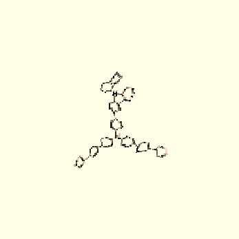 c1ccc(-c2ccc(-c3ccc(N(c4ccc(-c5ccc(-c6ccccc6)cc5)cc4)c4ccc(-c5ccc6c(c5)c5ccccc5n6-c5cccc6ccccc56)cc4)cc3)cc2)cc1